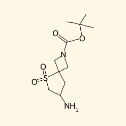 CC(C)(C)OC(=O)N1CC2(CC(N)CS2(=O)=O)C1